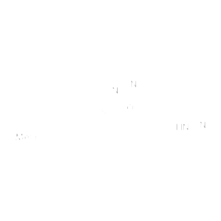 COc1ccc(CSc2nnc(-c3ccc4cn[nH]c4c3)o2)cc1